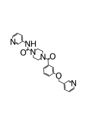 O=C(Nc1cccnc1)N1CCN(C(=O)c2cccc(OCc3cccnc3)c2)CC1